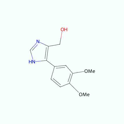 COc1ccc(-c2[nH]cnc2CO)cc1OC